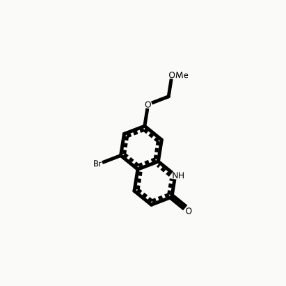 COCOc1cc(Br)c2ccc(=O)[nH]c2c1